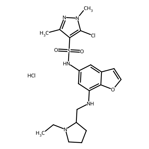 CCN1CCCC1CNc1cc(NS(=O)(=O)c2c(C)nn(C)c2Cl)cc2ccoc12.Cl